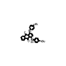 CCCCc1ccc(Nc2ccc(Nc3ccc(CCCC)cc3)c3c2C(=O)c2ccccc2C3=O)cc1